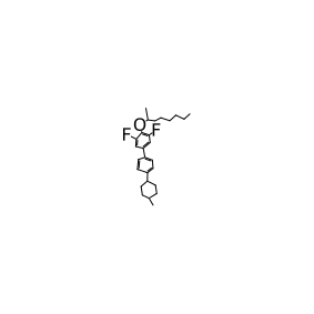 CCCCCCC(C)Oc1c(F)cc(-c2ccc(C3CCC(C)CC3)cc2)cc1F